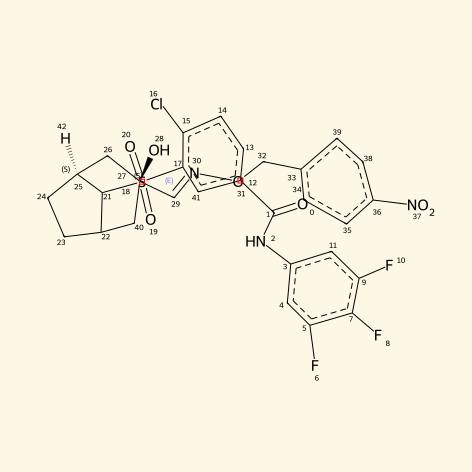 O=C(Nc1cc(F)c(F)c(F)c1)c1ccc(Cl)c(S(=O)(=O)C2C3CC[C@H]2C[C@](O)(/C=N/OCc2ccc([N+](=O)[O-])cc2)C3)c1